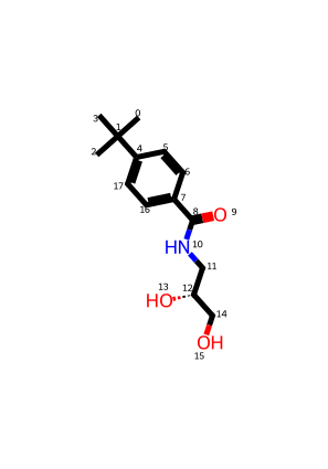 CC(C)(C)c1ccc(C(=O)NC[C@@H](O)CO)cc1